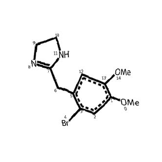 COc1cc(Br)c(CC2=NCCN2)cc1OC